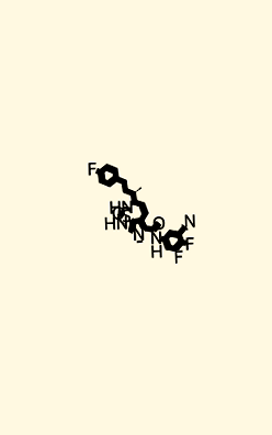 C[C@@H](CCc1ccc(F)cc1)[C@H]1C=Cc2c(cn(C)c2C(=O)Nc2cc(F)c(F)c(C#N)c2)S(=N)(=O)N1